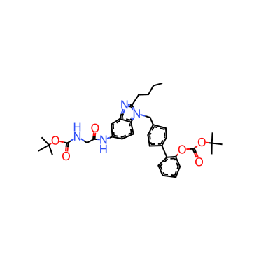 CCCCc1nc2cc(NC(=O)CNC(=O)OC(C)(C)C)ccc2n1Cc1ccc(-c2ccccc2OC(=O)OC(C)(C)C)cc1